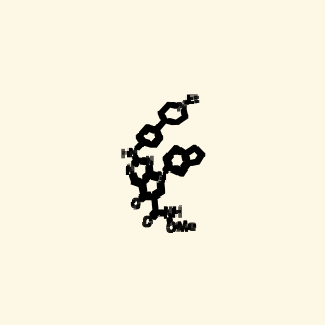 CCN1CCC(c2ccc(Nc3ncc4c(=O)c(C(=O)NOC)cn(-c5ccc6c(c5)CCC6)c4n3)cc2)CC1